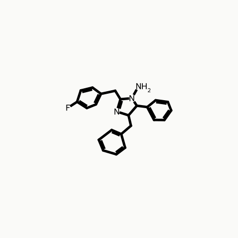 NN1C(Cc2ccc(F)cc2)=NC(Cc2ccccc2)C1c1ccccc1